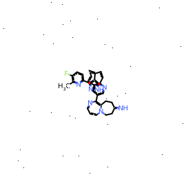 Cc1nc(-c2n[nH]cc2C2=C\C=C\c3cc(C4=C5CCC(=N)CCN5C=CC=N4)cnc3/C=C\2)ccc1F